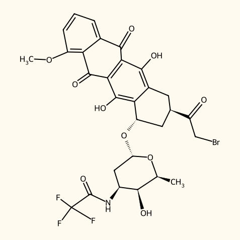 COc1cccc2c1C(=O)c1c(O)c3c(c(O)c1C2=O)C[C@@H](C(=O)CBr)C[C@@H]3O[C@H]1C[C@H](NC(=O)C(F)(F)F)[C@H](O)[C@H](C)O1